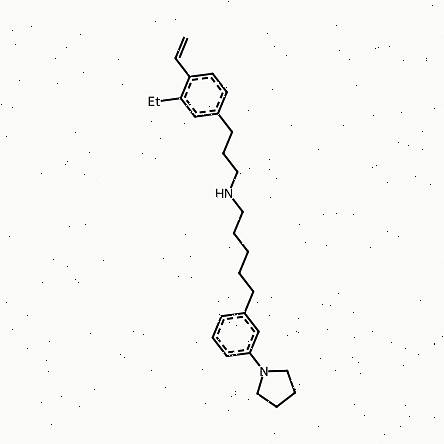 C=Cc1ccc(CCCNCCCCCc2cccc(N3CCCC3)c2)cc1CC